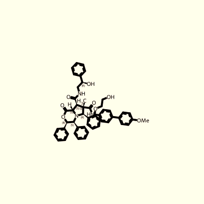 COc1ccc(-c2ccc(NC(=O)[C@@]3(C)[C@H](C(=O)NC[C@H](O)c4ccccc4)[C@H]4C(=O)O[C@H](c5ccccc5)[C@H](c5ccccc5)N4[C@@H]3c3ccccc3OCCO)cc2)cc1